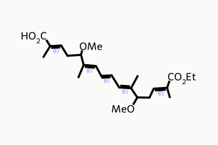 CCOC(=O)/C(C)=C/CC(OC)/C(C)=C/C=C/C=C(\C)C(C/C=C(\C)C(=O)O)OC